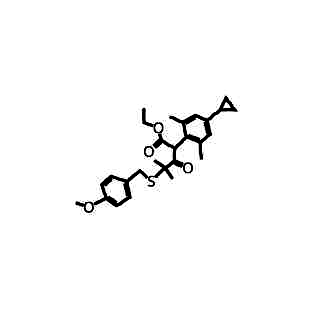 CCOC(=O)C(C(=O)C(C)(C)SCc1ccc(OC)cc1)c1c(C)cc(C2CC2)cc1C